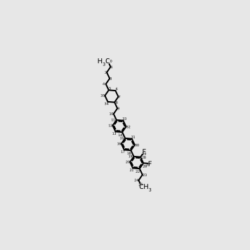 CCCCCC1CCC(CCc2ccc(-c3ccc(-c4ccc(CCC)c(F)c4F)cc3)cc2)CC1